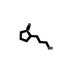 O=[N+]1CCCC1CCCO